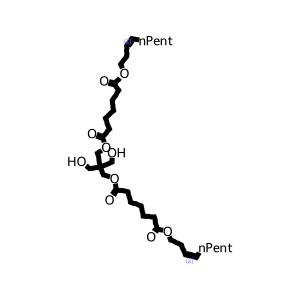 CCCCC/C=C\CCOC(=O)CCCCCC(=O)OCC(CO)(CO)COC(=O)CCCCCC(=O)OCC/C=C\CCCCC